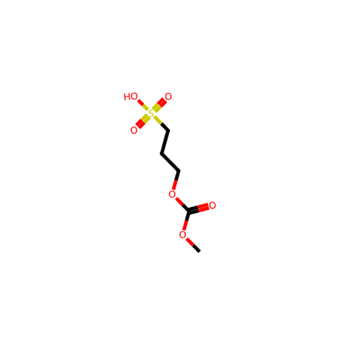 COC(=O)OCCCS(=O)(=O)O